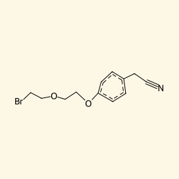 N#CCc1ccc(OCCOCCBr)cc1